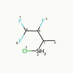 CC([SiH2]Cl)C(F)C(F)F